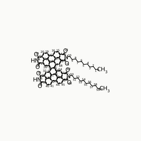 CCCCCCCCCCCn1c(=O)c2ccc3c4ccc5c(=O)[nH]c(=O)c6cc7c8c9cc%10c(=O)[nH]c(=O)c%11ccc%12c%13ccc%14c(=O)n(CCCCCCCCCCC)c(=O)c%15cc(c8c8cc(c1=O)c2c3c8c7c4c56)c(c%13c%14%15)c9c%12c%11%10